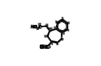 O=CC1=CCc2ccccc2C(CC(=O)O)C1